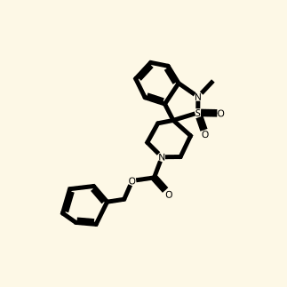 CN1c2ccccc2C2(CCN(C(=O)OCc3ccccc3)CC2)S1(=O)=O